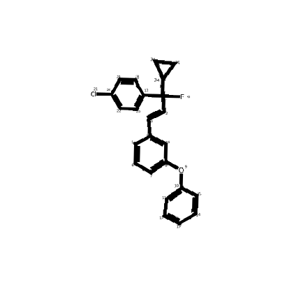 FC(C=Cc1cccc(Oc2ccccc2)c1)(c1ccc(Cl)cc1)C1CC1